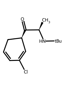 C[C@@H](NC(C)(C)C)C(=O)[C@H]1C=C(Cl)C=CC1